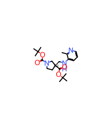 Cc1ncccc1NC[C@@]1(C(=O)OC(C)(C)C)CCN(C(=O)OC(C)(C)C)C1